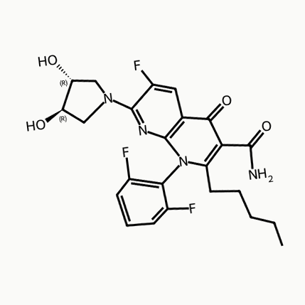 CCCCCc1c(C(N)=O)c(=O)c2cc(F)c(N3C[C@@H](O)[C@H](O)C3)nc2n1-c1c(F)cccc1F